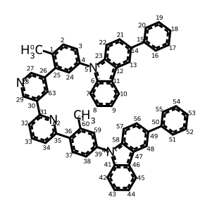 Cc1ccc(-n2c3ccccc3c3cc(-c4ccccc4)ccc32)cc1-c1cncc(-c2cccc(-c3ccc(-n4c5ccccc5c5cc(-c6ccccc6)ccc54)cc3C)n2)c1